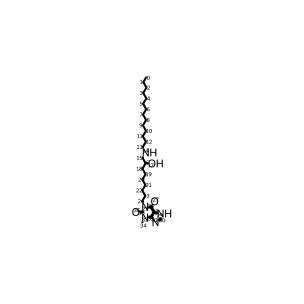 CCCCCCCCCCCCCCNCC(O)CCCCCCCn1c(=O)c2[nH]cnc2n(C)c1=O